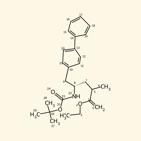 C=C(OCC)C(C)C[C@@H](Cc1ccc(-c2ccccc2)cc1)NC(=O)OC(C)(C)C